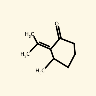 CC(C)=C1C(=O)CCCC1C